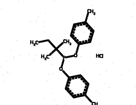 CCC(C)(C)P(Oc1ccc(C)cc1)Oc1ccc(C)cc1.Cl